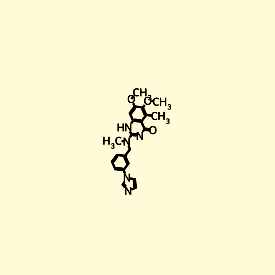 COc1cc2[nH]c(N(C)Cc3cccc(-n4ccnc4)c3)nc(=O)c2c(C)c1OC